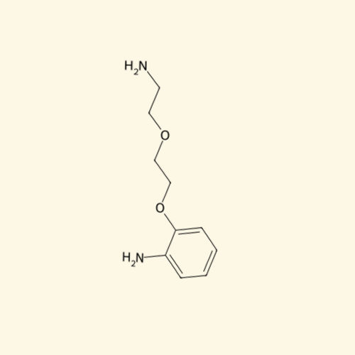 NCCOCCOc1ccccc1N